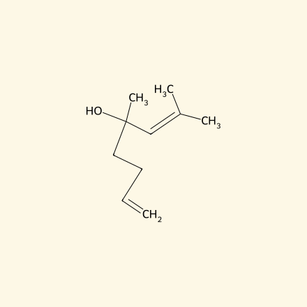 C=CCCC(C)(O)C=C(C)C